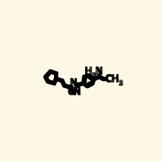 CC[C@H](N)c1ccc(-c2noc(CCC3CCCCC3)n2)cc1